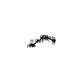 CC1(C(=O)NCCCNC(=O)CCCCC2SCC3NC(=O)NC32)CC/C=C/C(OC(=O)NCCCCCN2C(=O)C=CC2=O)CC1